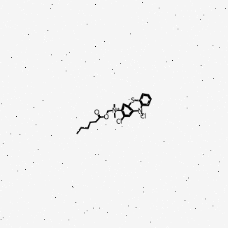 CCCCCC(=O)OC[N+](C)(C)c1cc2c(cc1Cl)N(Cl)c1ccccc1S2